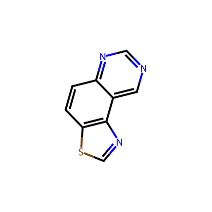 c1ncc2c(ccc3scnc32)n1